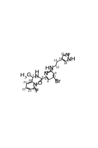 CC(NC(=O)c1cc(Br)cc(NCCc2cn[nH]c2)n1)c1cccc(F)n1